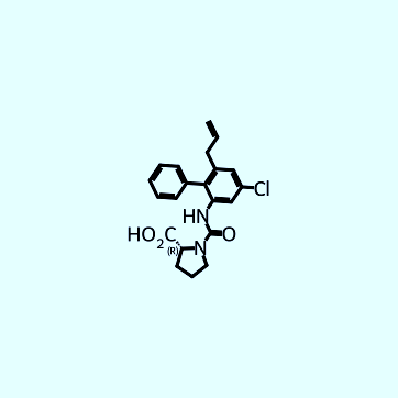 C=CCc1cc(Cl)cc(NC(=O)N2CCC[C@@H]2C(=O)O)c1-c1ccccc1